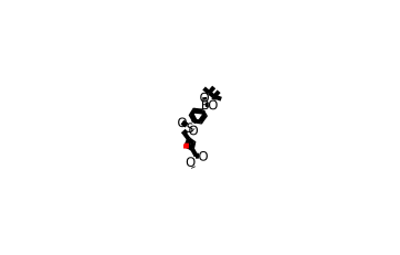 COC(=O)C12CC(CS(=O)(=O)c3ccc(B4OC(C)(C)C(C)(C)O4)cc3)(C1)C2